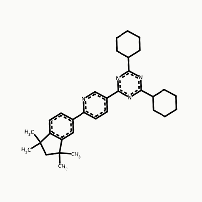 CC1(C)CC(C)(C)c2cc(-c3ccc(-c4nc(C5CCCCC5)nc(C5CCCCC5)n4)cn3)ccc21